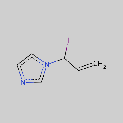 C=CC(I)n1ccnc1